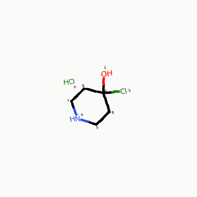 Cl.OC1(Cl)CCNCC1